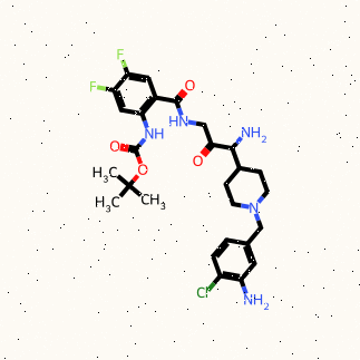 CC(C)(C)OC(=O)Nc1cc(F)c(F)cc1C(=O)NCC(=O)C(N)C1CCN(Cc2ccc(Cl)c(N)c2)CC1